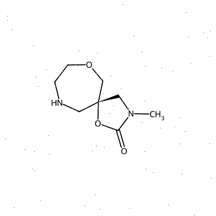 CN1C[C@]2(CNCCOC2)OC1=O